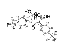 O=C(C(c1ccc(C(F)(F)F)cc1)C(O)O)C(c1ccc(C(F)(F)F)cc1)C(O)O